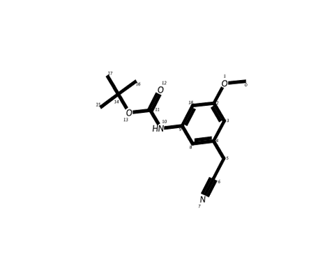 COc1cc(CC#N)cc(NC(=O)OC(C)(C)C)c1